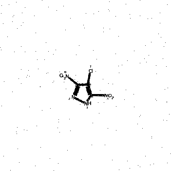 O=[N+]([O-])c1n[nH]c([N+](=O)[O-])c1Cl